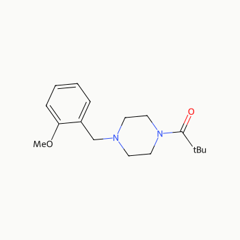 COc1ccccc1CN1CCN(C(=O)C(C)(C)C)CC1